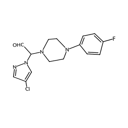 O=CC(N1CCN(c2ccc(F)cc2)CC1)n1cc(Cl)cn1